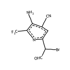 N#Cc1cc(C(Br)C=O)nc(C(F)(F)F)c1N